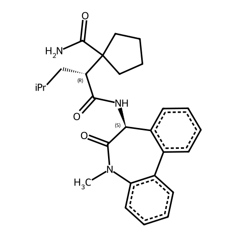 CC(C)C[C@@H](C(=O)N[C@@H]1C(=O)N(C)c2ccccc2-c2ccccc21)C1(C(N)=O)CCCC1